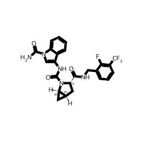 NC(=O)n1cc(NC(=O)N2[C@@H]3C[C@@H]3C[C@H]2C(=O)NCc2cccc(C(F)(F)F)c2F)c2ccccc21